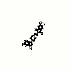 Cc1ccc2c(c1)C(=O)N(CCN1CCN(c3n[nH]c4cc(F)ccc34)CC1)C2=O